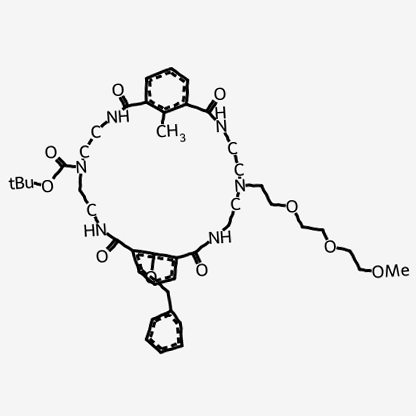 COCCOCCOCCN1CCNC(=O)c2cccc(c2C)C(=O)NCCN(C(=O)OC(C)(C)C)CCNC(=O)c2cccc(c2OCc2ccccc2)C(=O)NCC1